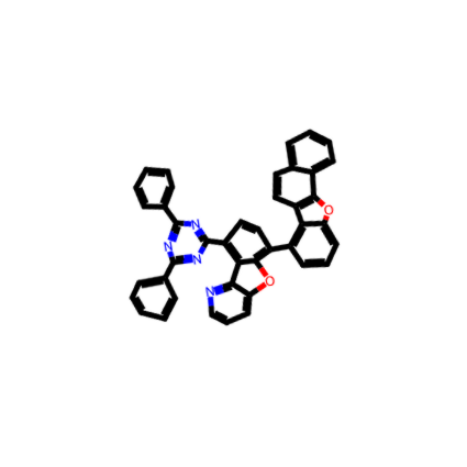 c1ccc(-c2nc(-c3ccccc3)nc(-c3ccc(-c4cccc5oc6c7ccccc7ccc6c45)c4oc5cccnc5c34)n2)cc1